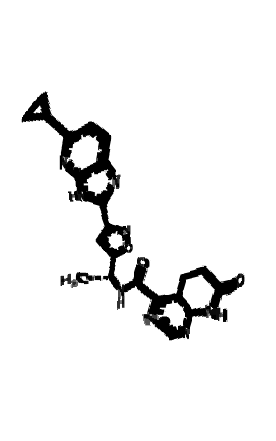 C[C@@H](NC(=O)c1ncnc2c1CCC(=O)N2)c1cc(-c2nc3ccc(C4CC4)nc3[nH]2)no1